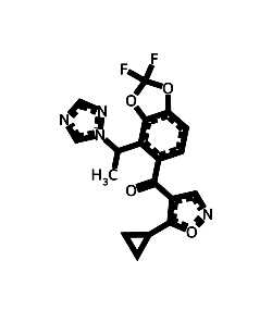 CC(c1c(C(=O)c2cnoc2C2CC2)ccc2c1OC(F)(F)O2)n1cncn1